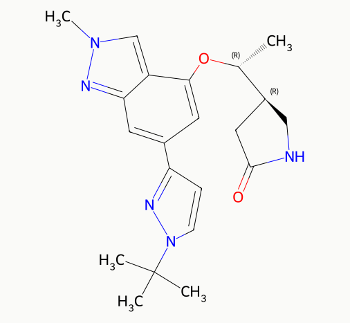 C[C@@H](Oc1cc(-c2ccn(C(C)(C)C)n2)cc2nn(C)cc12)[C@H]1CNC(=O)C1